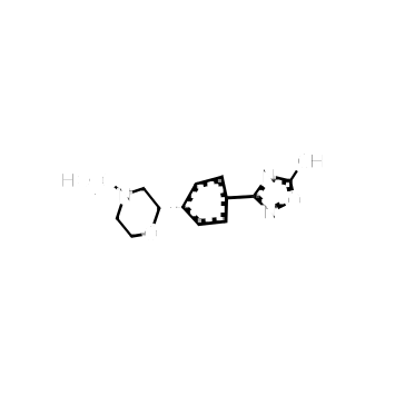 Cc1nc(-c2ccc([C@H]3CN(C(=O)O)CCO3)cc2)no1